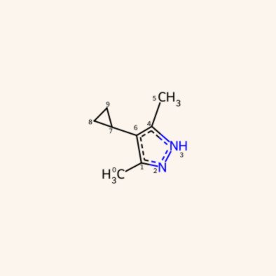 Cc1n[nH]c(C)c1C1CC1